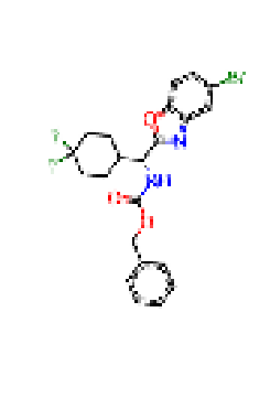 O=C(N[C@@H](c1nc2cc(Br)ccc2o1)C1CCC(F)(F)CC1)OCc1ccccc1